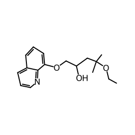 CCOC(C)(C)CC(O)COc1cccc2cccnc12